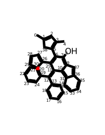 CC1=CC(C)=C(c2c(O)c3c(c(=C(c4ccccc4)c4ccccc4)c2C2=CC=CC2)=c2ccccc2=C3)C1